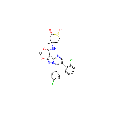 CCOc1nn2c(-c3ccc(Cl)cc3)c(-c3ccccc3Cl)cnc2c1C(=O)NC1(C)CC[S+]([O-])C(=O)C1